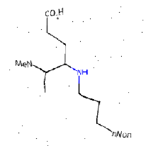 CCCCCCCCCCCCNC(CCC(=O)O)C(C)NC